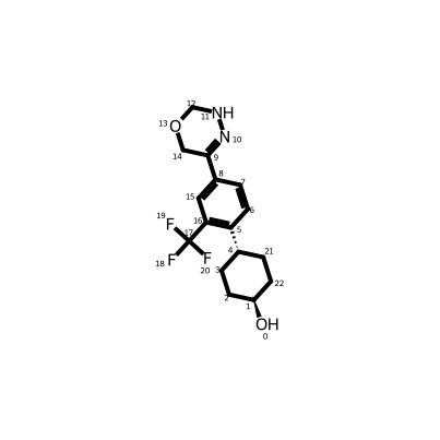 O[C@H]1CC[C@H](c2ccc(C3=NNCOC3)cc2C(F)(F)F)CC1